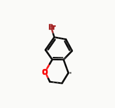 Brc1ccc2c(c1)OCC[CH]2